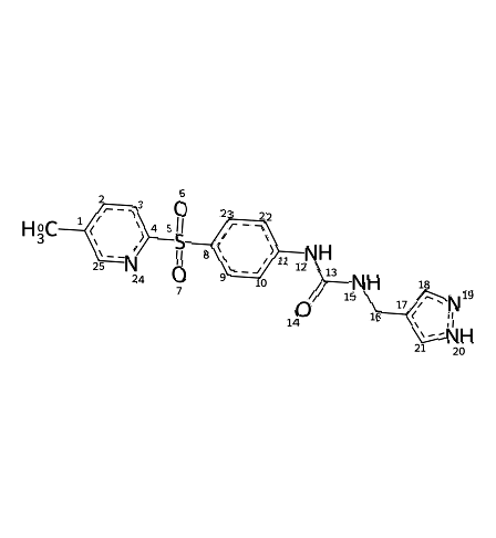 Cc1ccc(S(=O)(=O)c2ccc(NC(=O)NCc3cn[nH]c3)cc2)nc1